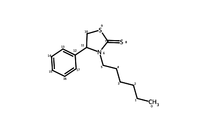 CCCCCCN1C(=S)SCC1c1ccccc1